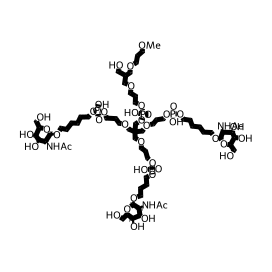 COCCCOCC(CO)COCCCOP(=O)(O)OCC(COCCCOP(=O)(O)OCCCCCCO[C@@H]1OC(CO)[C@H](O)[C@H](O)C1NC(C)=O)(COCCCOP(=O)(O)OCCCCCCO[C@@H]1OC(CO)C(O)C(O)[C@@H]1NC(C)=O)COCCCOP(=O)(O)OCCCCO[C@@H]1OC(CO)[C@H](O)C(O)[C@@H]1NC(C)=O